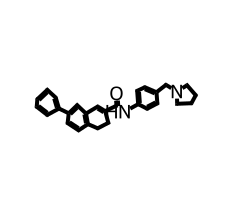 O=C(Nc1ccc(CN2CCCC2)cc1)C1=Cc2cc(-c3ccccc3)ccc2CC1